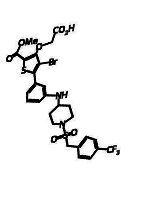 COC(=O)c1sc(-c2cccc(NC3CCN(S(=O)(=O)Cc4ccc(C(F)(F)F)cc4)CC3)c2)c(Br)c1OCC(=O)O